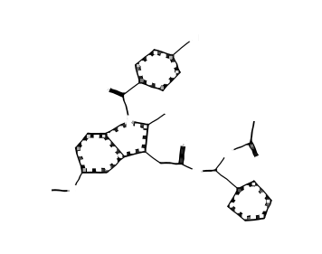 COc1ccc2c(c1)c(CC(=O)OC(OC(C)=O)c1ccccc1)c(C)n2C(=O)c1ccc(Cl)cc1